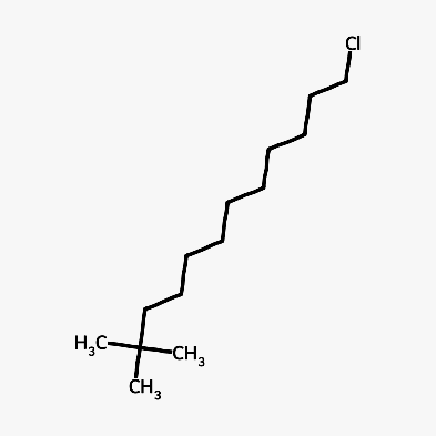 CC(C)(C)CCCCCCCCCCCl